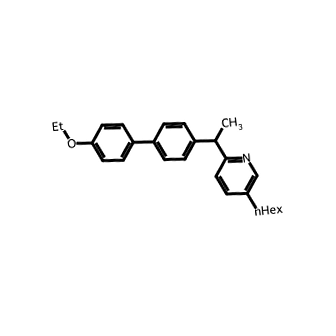 CCCCCCc1ccc(C(C)c2ccc(-c3ccc(OCC)cc3)cc2)nc1